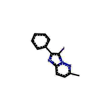 Cc1ccc2nc(-c3ccccc3)c(I)n2n1